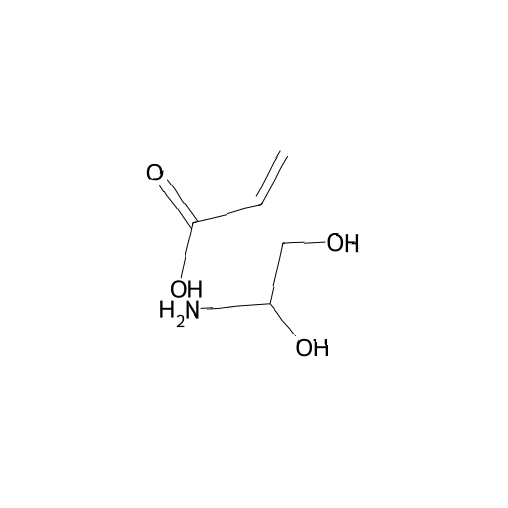 C=CC(=O)O.NC(O)CO